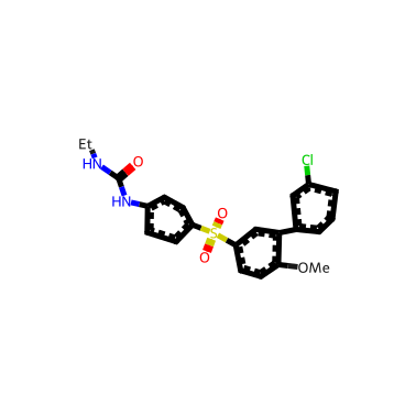 CCNC(=O)Nc1ccc(S(=O)(=O)c2ccc(OC)c(-c3cccc(Cl)c3)c2)cc1